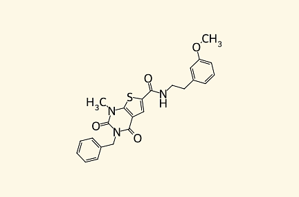 COc1cccc(CCNC(=O)c2cc3c(=O)n(Cc4ccccc4)c(=O)n(C)c3s2)c1